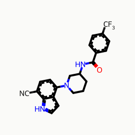 N#Cc1ccc(N2CCCC(NC(=O)c3ccc(C(F)(F)F)cc3)C2)c2cc[nH]c12